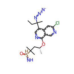 CCC(C)(N=[N+]=[N-])c1cnc(O[C@H](C)CC(C)(C)[SH](=N)=O)c2cnc(Cl)cc12